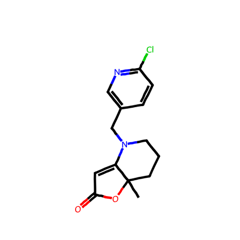 CC12CCCN(Cc3ccc(Cl)nc3)C1=CC(=O)O2